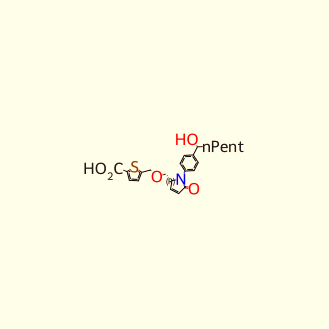 CCCCCC(O)c1ccc(N2C(=O)C=C[C@@H]2COCc2ccc(C(=O)O)s2)cc1